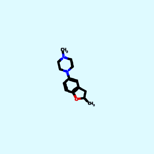 CC1Cc2cc(N3CCN(C)CC3)ccc2O1